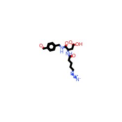 [N-]=[N+]=NCCCCC(=O)NC(CC(=O)O)C(=O)NCc1ccc(C=O)cc1